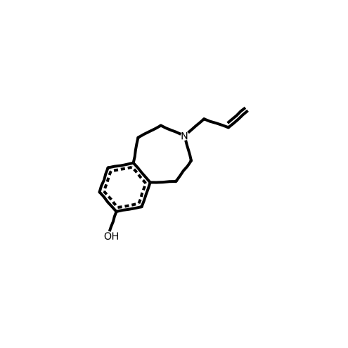 C=CCN1CCc2ccc(O)cc2CC1